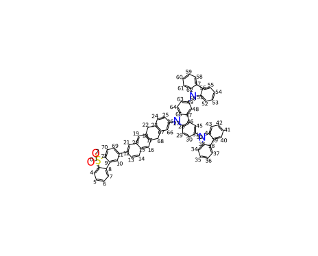 O=S1(=O)c2ccccc2-c2cc(-c3ccc4cc5c(cc4c3)Cc3ccc(-n4c6ccc(-n7c8ccccc8c8ccccc87)cc6c6cc(-n7c8ccccc8c8ccccc87)ccc64)cc3C5)ccc21